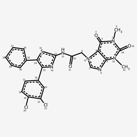 Cn1c(=O)c2c(ncn2CC(=O)Nc2nc(-c3ccc(Cl)c(Cl)c3)c(-c3ccccc3)s2)n(C)c1=O